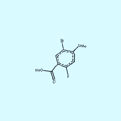 COC(=O)c1cc(Br)c(SC)cc1F